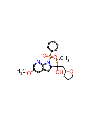 COc1cnc2c(c1)cc(C(O)(CC1CCCO1)SC)n2S(=O)(=O)c1ccccc1